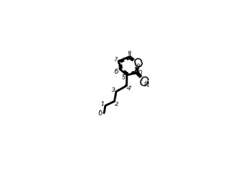 CCCCCc1cccoc1=O